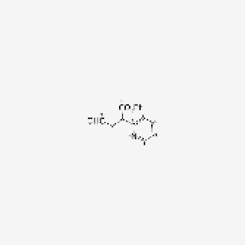 CCOC(=O)C(CC=O)c1ccccn1